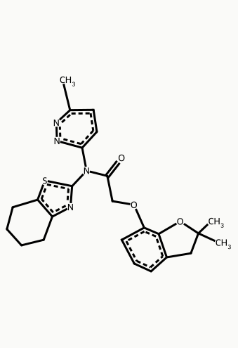 Cc1ccc(N(C(=O)COc2cccc3c2OC(C)(C)C3)c2nc3c(s2)CCCC3)nn1